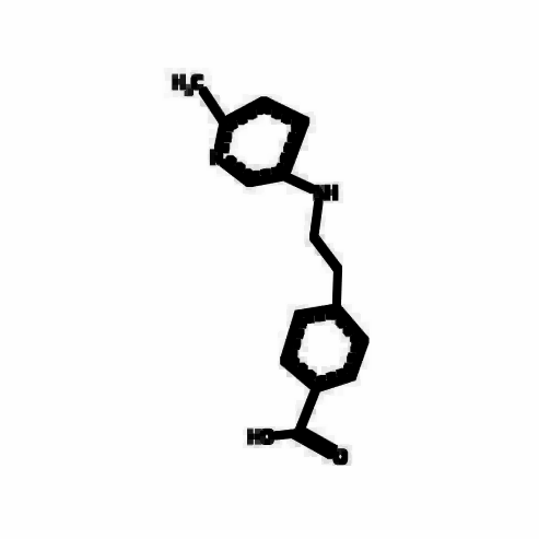 Cc1ccc(NCCc2ccc(C(=O)O)cc2)cn1